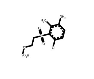 Cc1c(N)ccc(Cl)c1S(=O)(=O)CCOS(=O)(=O)O